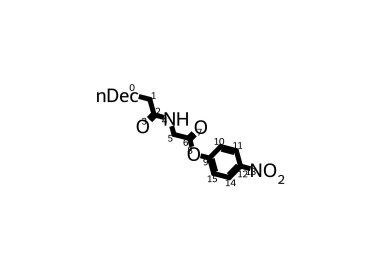 CCCCCCCCCCCC(=O)NCC(=O)Oc1ccc([N+](=O)[O-])cc1